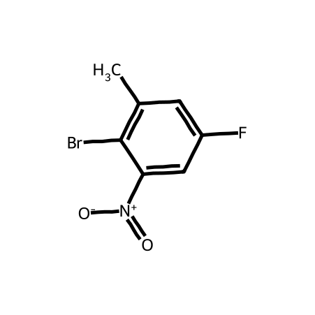 Cc1cc(F)cc([N+](=O)[O-])c1Br